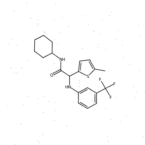 Cc1ccc(C(Nc2cccc(C(F)(F)F)c2)C(=O)NC2CCCCC2)s1